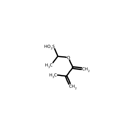 C=C(C)C(=C)OC(C)S(=O)(=O)O